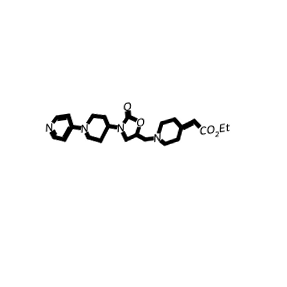 CCOC(=O)C=C1CCN(CC2CN(C3CCN(c4ccncc4)CC3)C(=O)O2)CC1